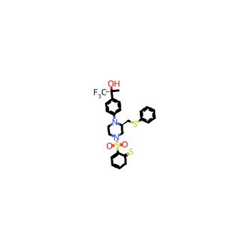 C[C@](O)(c1ccc(N2CCN(S(=O)(=O)C3=CC=CCC3=S)C[C@@H]2CSc2ccccc2)cc1)C(F)(F)F